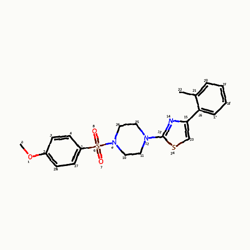 COc1ccc(S(=O)(=O)N2CCN(c3nc(-c4ccccc4C)cs3)CC2)cc1